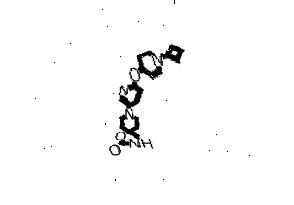 O=C1NCC2(CCN(c3ccc(OC4CCN(C5CCC5)CC4)nc3)CC2)O1